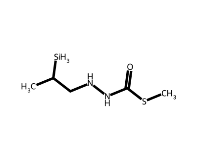 CSC(=O)NNCC(C)[SiH3]